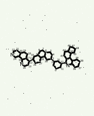 c1cc(-c2ccc3ccc4cc(-c5ccnc6c5ccc5ccncc56)ccc4c3c2)cc(-c2nc3ccccc3c3c2ccc2ccccc23)c1